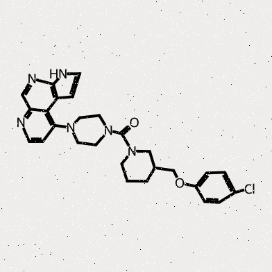 O=C(N1CCN(c2ccnc3cnc4[nH]ccc4c23)CC1)N1CCCC(COc2ccc(Cl)cc2)C1